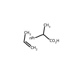 C=CC.CCCC(C)C(=O)O